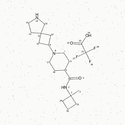 CC1(NC(=O)C2CCN(C3CC4(CCNC4)C3)CC2)CCC1.O=C(O)C(F)(F)F